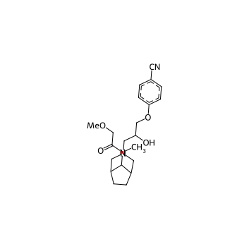 COCC(=O)N(C)C1C2CCC1CN(CC(O)COc1ccc(C#N)cc1)C2